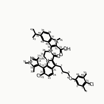 Cc1cc(OCCCc2c3n(c4c(-c5c(C)nn(C)c5C)c(Cl)ccc24)[C@H](C)CN(c2c(C(=O)O)n(C)c4ccc(C(C)C)cc24)C3=O)cc(C)c1Cl